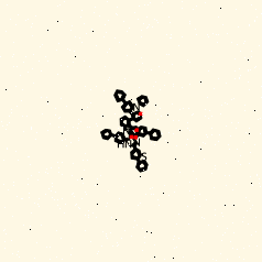 C1=CCC(c2ccc(C3N=C(c4cccc(-c5ccccc5)c4)N=C(c4ccc5c(c4)sc4ccccc45)N3)c(-n3c4ccccc4c4c(-c5cccc6c5c5ccc(-c7ccccc7)cc5n6-c5ccccc5)cccc43)c2)C=C1